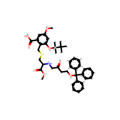 COC(=O)C(CSCc1c(O[Si](C)(C)C(C)(C)C)cc(OC)cc1C(=O)O)NCC(=O)CCOC(c1ccccc1)(c1ccccc1)c1ccccc1